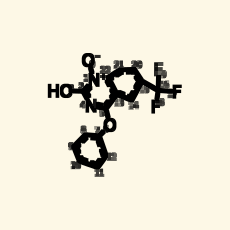 [O-][n+]1c(O)nc(Oc2ccccc2)c2cc(C(F)(F)F)ccc21